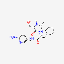 CC(C)N(C)C(CO)C(=O)N[C@@H](CC1CCCCC1)C(=O)NCc1ccc(N)nc1